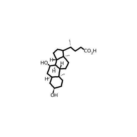 C[C@H](CCC(=O)O)C1CC[C@H]2[C@@H]3[C@H](O)C[C@@H]4C[C@H](O)CC[C@]4(C)[C@H]3CC[C@]12C